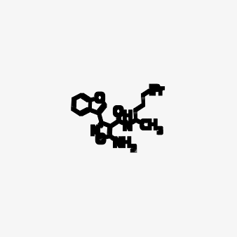 CC(C)CCCC(C)NC(=O)c1c(-c2coc3ccccc23)noc1N